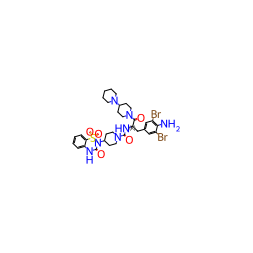 Nc1c(Br)cc(C[C@@H](NC(=O)N2CCC(N3C(=O)Nc4ccccc4S3(=O)=O)CC2)C(=O)N2CCC(N3CCCCC3)CC2)cc1Br